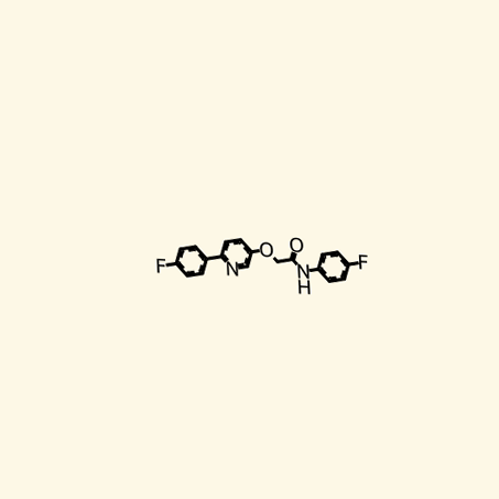 O=C(COc1ccc(-c2ccc(F)cc2)nc1)Nc1ccc(F)cc1